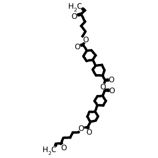 C=CC(=O)CCCCOC(=O)C1CCC(C2CCC(C(=O)OC(=O)C3CCC(C4CCC(C(=O)OCCCCC(=O)C=C)CC4)CC3)CC2)CC1